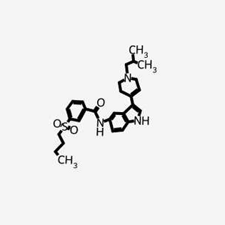 CCCCS(=O)(=O)c1cccc(C(=O)Nc2ccc3[nH]cc(C4=CCN(CC(C)C)CC4)c3c2)c1